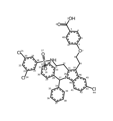 O=C(O)c1ccc(OCCc2c(CCNS(=O)(=O)c3cc(Cl)cc(Cl)c3)n(C(c3ccccc3)c3ccccc3)c3ccc(Cl)cc23)cc1